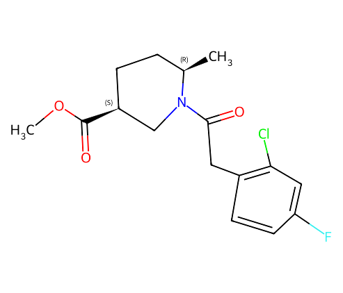 COC(=O)[C@H]1CC[C@@H](C)N(C(=O)Cc2ccc(F)cc2Cl)C1